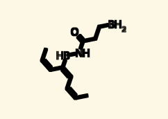 BCCC(=O)NBC(/C=C\C)=C/C=C\C